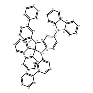 c1ccc(-c2cccc(N3c4ccc(-n5c6ccccc6c6ccccc65)cc4N(c4cccc(-c5ccccc5)c4)C3(c3ccccc3)c3ccccc3)c2)cc1